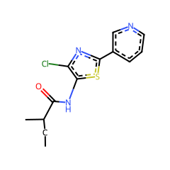 CCC(C)C(=O)Nc1sc(-c2cccnc2)nc1Cl